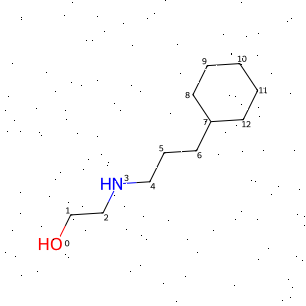 OCCNCCCC1CCCCC1